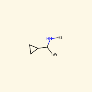 [CH2]CCC(NCC)C1CC1